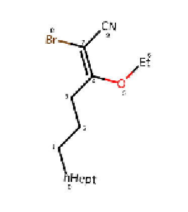 CCCCCCCCCCC(OCC)=C(Br)C#N